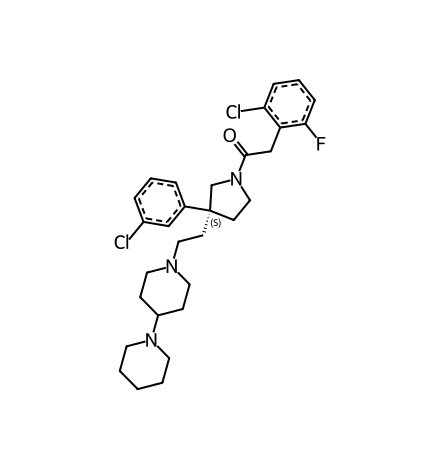 O=C(Cc1c(F)cccc1Cl)N1CC[C@@](CCN2CCC(N3CCCCC3)CC2)(c2cccc(Cl)c2)C1